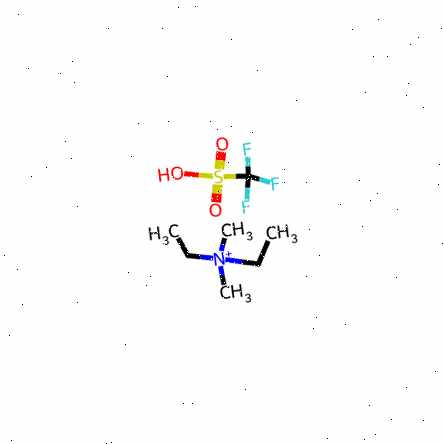 CC[N+](C)(C)CC.O=S(=O)(O)C(F)(F)F